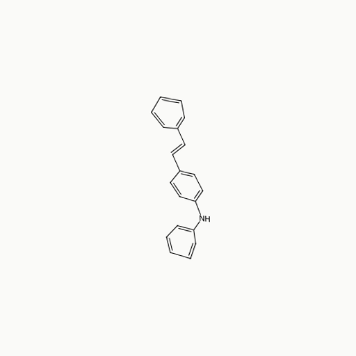 C(=Cc1ccc(Nc2ccccc2)cc1)c1ccccc1